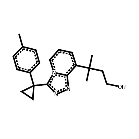 Cc1ccc(C2(c3nnc4c(C(C)(C)CCO)cccn34)CC2)cc1